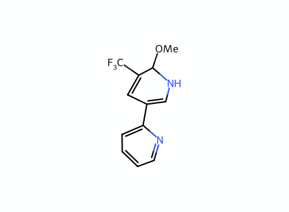 COC1NC=C(c2ccccn2)C=C1C(F)(F)F